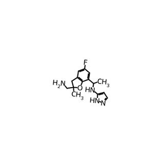 CC(Nc1ccn[nH]1)c1cc(F)cc2c1OC(C)(CN)C2